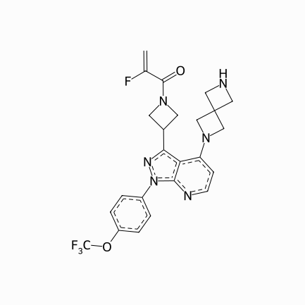 C=C(F)C(=O)N1CC(c2nn(-c3ccc(OC(F)(F)F)cc3)c3nccc(N4CC5(CNC5)C4)c23)C1